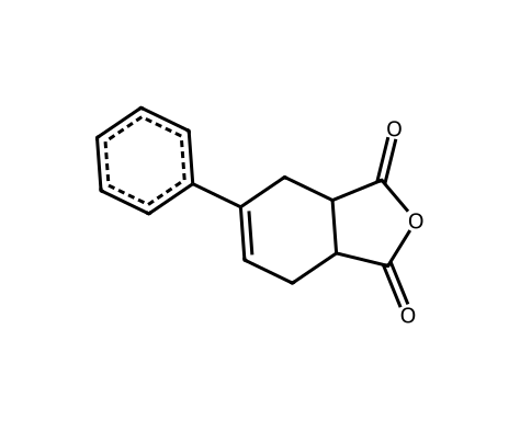 O=C1OC(=O)C2CC(c3ccccc3)=CCC12